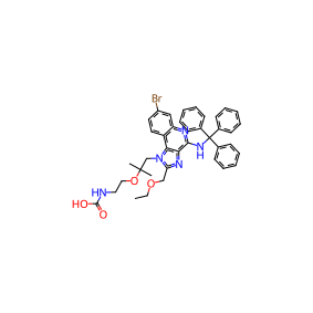 CCOCc1nc2c(NC(c3ccccc3)(c3ccccc3)c3ccccc3)nc3cc(Br)ccc3c2n1CC(C)(C)OCCNC(=O)O